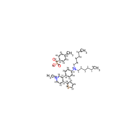 CCCCCCN(CCCCCC)c1ccc(-c2c[n+](C)ccc2-c2cccs2)cc1.Cc1ccc(S(=O)(=O)[O-])cc1